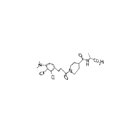 CC(NC(=O)C1CCN(C(=O)/C=C/c2ccc(N(C)C)c(Cl)c2Cl)CC1)C(=O)O